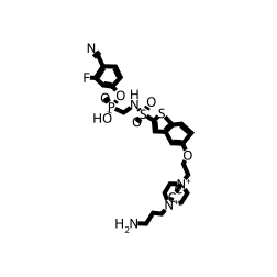 N#Cc1ccc(OP(=O)(O)CNS(=O)(=O)c2cc3cc(OCC[N+]45CC[N+](CCCN)(CC4)CC5)ccc3s2)cc1F